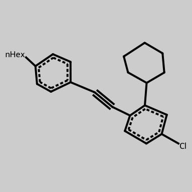 CCCCCCc1ccc(C#Cc2ccc(Cl)cc2C2CCCCC2)cc1